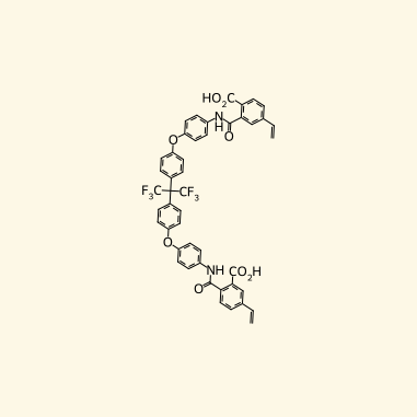 C=Cc1ccc(C(=O)Nc2ccc(Oc3ccc(C(c4ccc(Oc5ccc(NC(=O)c6cc(C=C)ccc6C(=O)O)cc5)cc4)(C(F)(F)F)C(F)(F)F)cc3)cc2)c(C(=O)O)c1